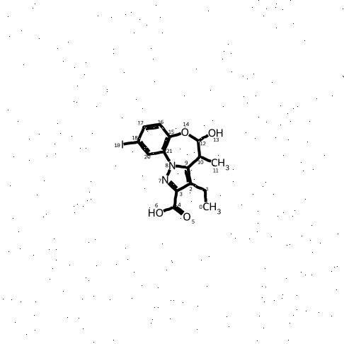 CCc1c(C(=O)O)nn2c1C(C)C(O)Oc1ccc(I)cc1-2